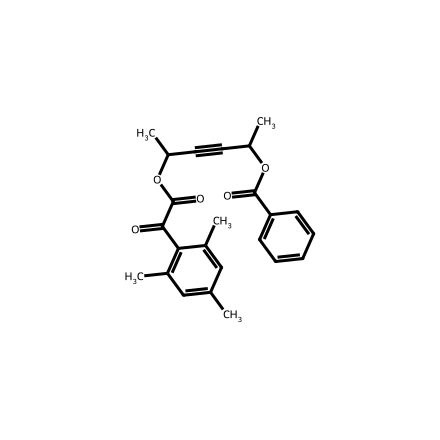 Cc1cc(C)c(C(=O)C(=O)OC(C)C#CC(C)OC(=O)c2ccccc2)c(C)c1